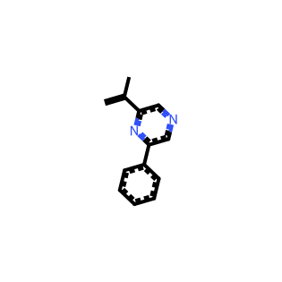 C=C(C)c1cncc(-c2ccccc2)n1